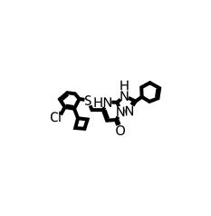 O=C1C=C(CSC2CC=CC(Cl)=C2C2CCC2)NC2NC(C3CC=CCC3)=NN12